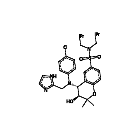 CC(C)CN(CC(C)C)S(=O)(=O)c1ccc2c(c1)[C@@H](N(Cc1ncc[nH]1)c1ccc(Cl)cc1)[C@H](O)C(C)(C)O2